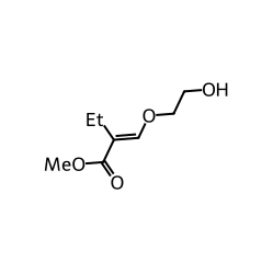 CC/C(=C\OCCO)C(=O)OC